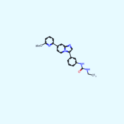 COc1cccc(-c2ccn3c(-c4cccc(NC(=O)NCC(F)(F)F)c4)cnc3c2)n1